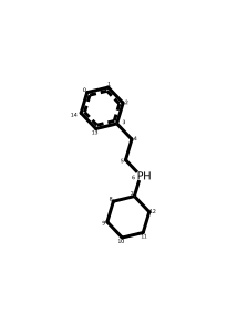 c1ccc(CCPC2CCCCC2)cc1